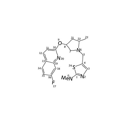 CNc1ncc(CN2CC(Oc3ccc4ccc(F)cc4n3)CC2C)s1